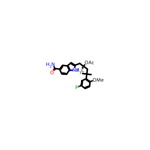 COc1ccc(F)cc1C(C)(C)CC(Cc1cc2cc(C(N)=O)ccc2[nH]1)(OC(C)=O)C(F)(F)F